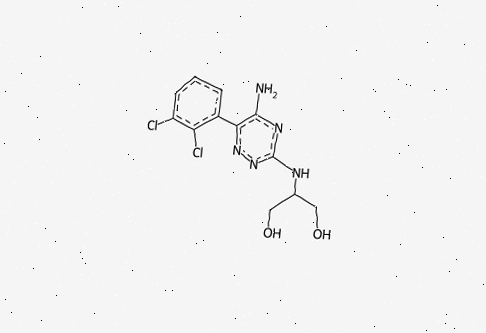 Nc1nc(NC(CO)CO)nnc1-c1cccc(Cl)c1Cl